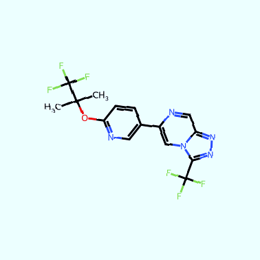 CC(C)(Oc1ccc(-c2cn3c(C(F)(F)F)nnc3cn2)cn1)C(F)(F)F